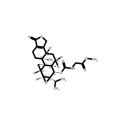 COC(=O)CNC(=O)O[C@@H]1[C@@]2(C(C)C)O[C@H]2[C@@H]2C[C@]23[C@]12O[C@H]2C[C@H]1C2=C(CC[C@@]13C)C(=O)OC2